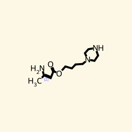 C/C(N)=C/C(=O)OCCCCN1CCNCC1